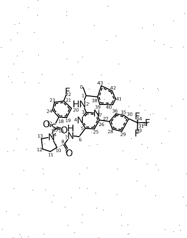 CC(Nc1nc(CNC(=O)[C@@H]2CCCN2S(=O)(=O)c2ccc(F)cc2)cc(-c2ccc(C(F)(F)F)cc2)n1)c1ccccc1